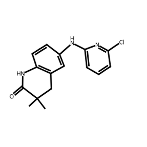 CC1(C)Cc2cc(Nc3cccc(Cl)n3)ccc2NC1=O